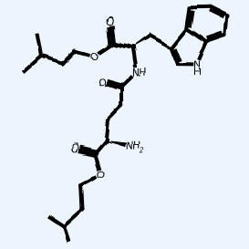 CC(C)CCOC(=O)[C@H](N)CCC(=O)N[C@H](Cc1c[nH]c2ccccc12)C(=O)OCCC(C)C